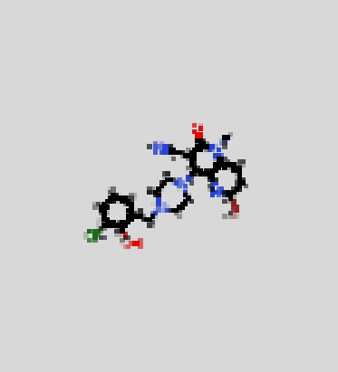 Cn1c(=O)c(C#N)c(N2CCN(Cc3cccc(Cl)c3O)CC2)c2nc(Br)ccc21